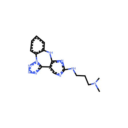 CN(C)CCCNc1ncc2c(n1)Nc1ccccc1-n1nnnc1-2